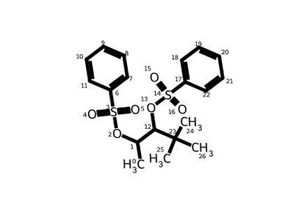 CC(OS(=O)(=O)c1ccccc1)C(OS(=O)(=O)c1ccccc1)C(C)(C)C